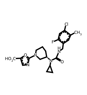 Cc1cc(CNC(=O)N(C2CC2)[C@@H]2CCCN(c3ncc(C(=O)O)o3)C2)c(F)cc1Cl